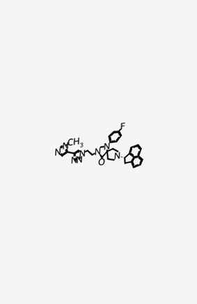 Cn1cncc1-c1cn(CCN2CN(c3ccc(F)cc3)C3(CCN([C@H]4Cc5cccc6cccc4c56)CC3)C2=O)nn1